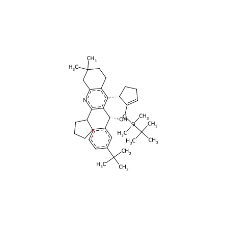 CC1(C)CCc2c(nc(C3CCCC3)c([C@H](O)c3cccc(C(C)(C)C)c3)c2[C@@H]2CCC=C2O[Si](C)(C)C(C)(C)C)C1